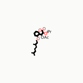 CC(=O)Oc1c(OC(C)C)c(=O)oc2cccc(OC/C=C(\C)CCC=C(C)C)c12